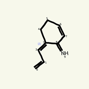 C=C/C=C1/CCC=CC1=N